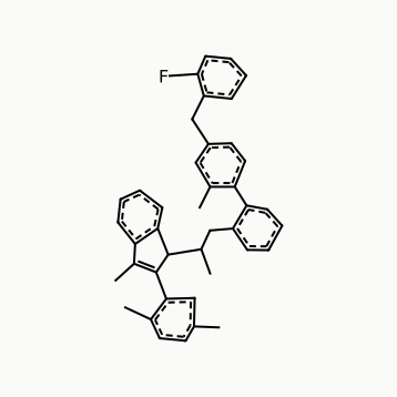 CC1=C(c2cc(C)ccc2C)C(C(C)Cc2ccccc2-c2ccc(Cc3ccccc3F)cc2C)c2ccccc21